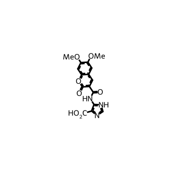 COc1cc2cc(C(=O)Nc3[nH]cnc3C(=O)O)c(=O)oc2cc1OC